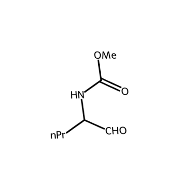 CCCC(C=O)NC(=O)OC